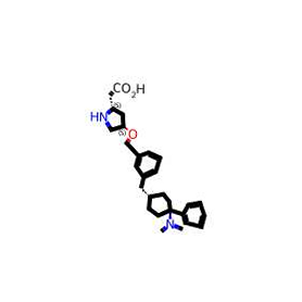 CN(C)[C@]1(c2ccccc2)CC[C@@H](Cc2cccc(CO[C@@H]3CN[C@H](CC(=O)O)C3)c2)CC1